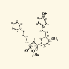 CC(C)(C)OC(=O)[C@H](CCCCc1ccccc1)NC(=O)c1ccc(N)c(CCc2ccc(O)cc2)c1